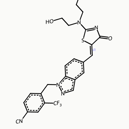 [C-]#[N+]c1ccc(Cn2ncc3cc(/C=C4\SC(N(CCO)CCO)=NC4=O)ccc32)c(C(F)(F)F)c1